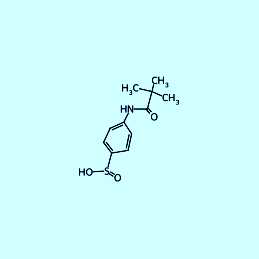 CC(C)(C)C(=O)Nc1ccc(S(=O)O)cc1